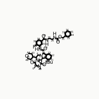 C[C@@H](C(=O)NC(CN1Cc2ccccc2[C@H]1C(=O)Nc1cc(C(=O)NCCNC(=O)OCc2ccccc2)ccc1F)C1CCOCC1)N(C)C(=O)OC(C)(C)C